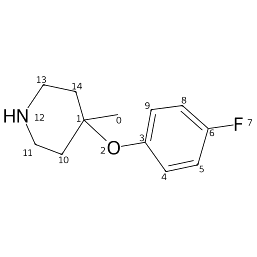 CC1(Oc2ccc(F)cc2)CCNCC1